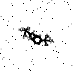 CCC(C)(C)c1ccc2nc(C(C)(C)CC)sc2c1